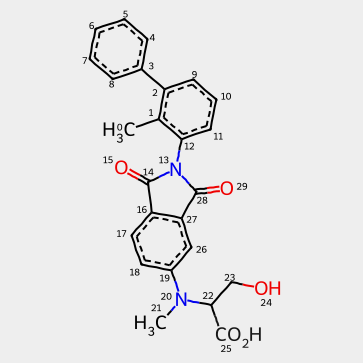 Cc1c(-c2ccccc2)cccc1N1C(=O)c2ccc(N(C)C(CO)C(=O)O)cc2C1=O